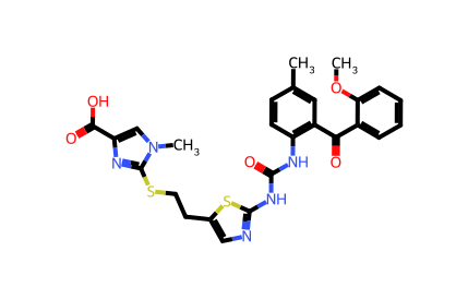 COc1ccccc1C(=O)c1cc(C)ccc1NC(=O)Nc1ncc(CCSc2nc(C(=O)O)cn2C)s1